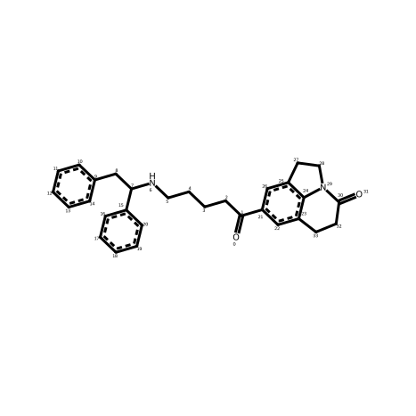 O=C(CCCCNC(Cc1ccccc1)c1ccccc1)c1cc2c3c(c1)CCN3C(=O)CC2